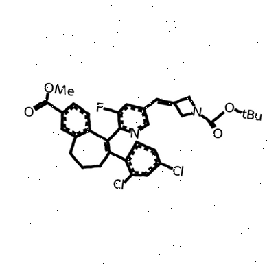 COC(=O)c1ccc2c(c1)CCCC(c1ccc(Cl)cc1Cl)=C2c1ncc(C=C2CN(C(=O)OC(C)(C)C)C2)cc1F